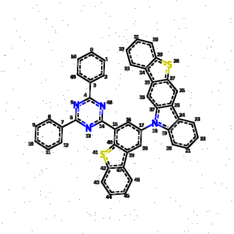 c1ccc(-c2nc(-c3ccccc3)nc(-c3cc(-n4c5ccccc5c5cc6sc7ccccc7c6cc54)cc4c3sc3ccccc34)n2)cc1